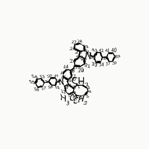 C=C1/C=C\C=C/CC(C)(C)c2ccc3c(c21)c1cc(-c2ccc4c(c2)c2ccccc2n4-c2ccc(-c4ccccc4)cc2)ccc1n3-c1ccc(-c2ccccc2)cc1